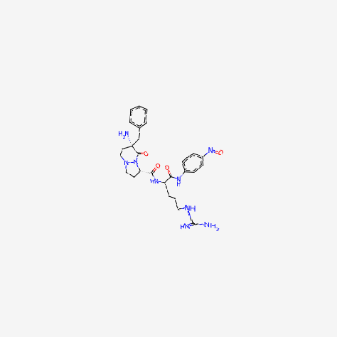 N=C(N)NCCCC(NC(=O)[C@@H]1CCN2CC[C@@](N)(Cc3ccccc3)C(=O)N12)C(=O)Nc1ccc(N=O)cc1